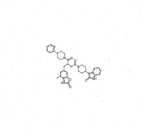 Cc1cc(CC(OC(=O)N2CCC(n3c(=O)[nH]c4ccccc43)CC2)C(=O)N2CCC(c3ccccn3)CC2)cc2oc(=O)[nH]c12